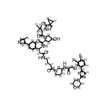 Cc1cnsc1-c1ccc([C@H](CC(=O)NCCCC(=O)N2CCCC(NC(=O)COc3c(-c4csc(N5CCOCC5)n4)ccc(F)c3F)C2)NC(=O)[C@@H]2C[C@@H](O)CN2C(=O)[C@@H](NC(=O)C2(F)CC2)C(C)(C)C)cc1